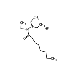 CCCCCCCC(=O)N(CC)N(CC)CC.F